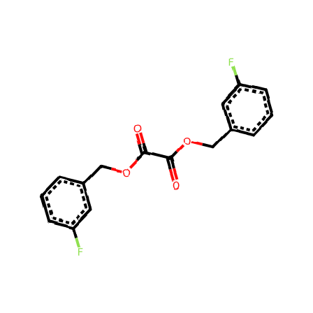 O=C(OCc1cccc(F)c1)C(=O)OCc1cccc(F)c1